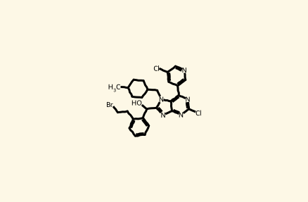 CC1CCC(Cn2c(C(O)c3ccccc3CCBr)nc3nc(Cl)nc(-c4cncc(Cl)c4)c32)CC1